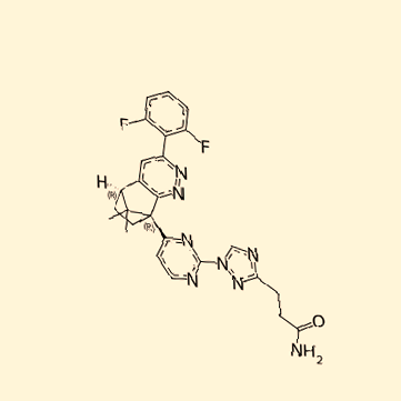 CC1(C)[C@H]2CC[C@@]1(c1ccnc(-n3cnc(CCC(N)=O)n3)n1)c1nnc(-c3c(F)cccc3F)cc12